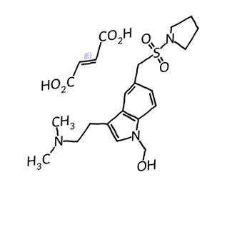 CN(C)CCc1cn(CO)c2ccc(CS(=O)(=O)N3CCCC3)cc12.O=C(O)/C=C/C(=O)O